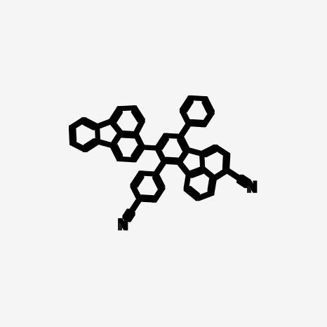 N#Cc1ccc(-c2c(-c3ccc4c5c(cccc35)-c3ccccc3-4)cc(-c3ccccc3)c3c2-c2cccc4c(C#N)ccc-3c24)cc1